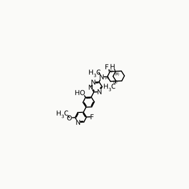 COc1cc(-c2ccc(-c3ncc(N(C)[C@@H]4C[C@@]5(C)CCC[C@H](C5)[C@@H]4F)nn3)c(O)c2)c(F)cn1